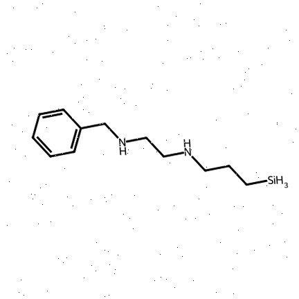 [SiH3]CCCNCCNCc1ccccc1